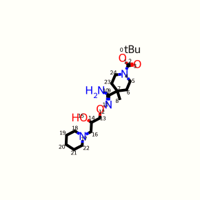 CC(C)(C)OC(=O)N1CCC(C)(C(N)=NOCC(O)CN2CCCCC2)CC1